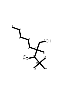 CCCCCC(C)(CO)C(O)C(C)(C)C